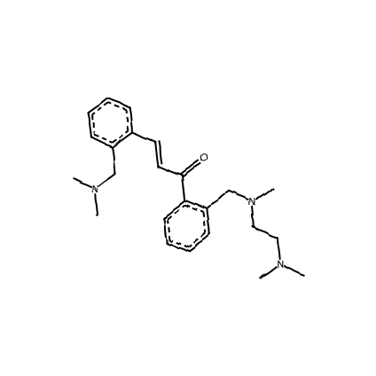 CN(C)CCN(C)Cc1ccccc1C(=O)/C=C/c1ccccc1CN(C)C